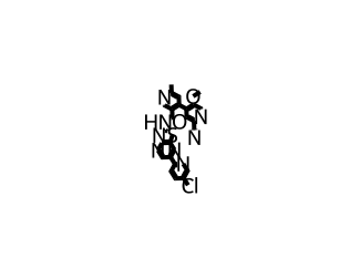 COc1cnc(C#N)cc1-c1cc(C)ncc1C(=O)Nc1nc2ncc(-c3ccc(Cl)cn3)nc2s1